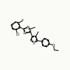 CCOc1ccc(-c2scc(-c3nc(-c4c(F)cccc4Cl)nn3C)c2C)cc1